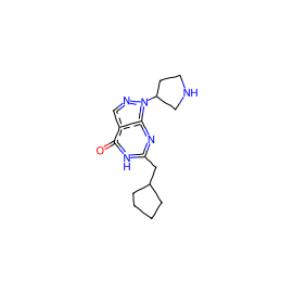 O=c1[nH]c(CC2CCCC2)nc2c1cnn2C1CCNC1